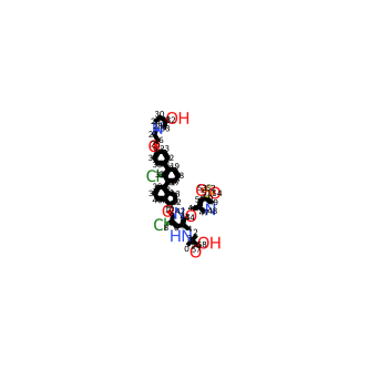 CC(C)(NCc1cc(Cl)c(O[C@H]2CCc3c(-c4cccc(-c5ccc(OCCN6CC[C@@H](O)C6)cc5)c4Cl)cccc32)nc1OCc1cncc(S(C)(=O)=O)c1)C(=O)O